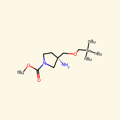 CCC[CH2][Sn]([CH2]CCC)([CH2]CCC)[CH2]OC[C@]1(N)CCN(C(=O)OC(C)(C)C)C1